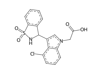 O=C(O)Cn1cc(C2NS(=O)(=O)c3ccccc32)c2c(Cl)cccc21